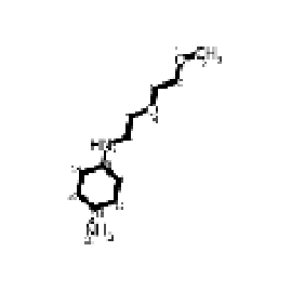 COCCOCCN[C@H]1CC[C@H](N)CC1